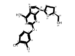 Nc1nc(Oc2ccc(Cl)c(Cl)c2)nc2c1ncn2[C@H]1CC[C@@H](CO)O1